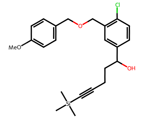 COc1ccc(COCc2cc(C(O)CCC#C[Si](C)(C)C)ccc2Cl)cc1